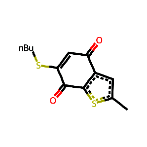 CCCCSC1=CC(=O)c2cc(C)sc2C1=O